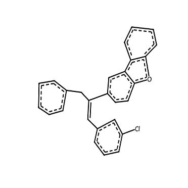 Clc1cccc(/C=C(/Cc2ccccc2)c2ccc3oc4ccccc4c3c2)c1